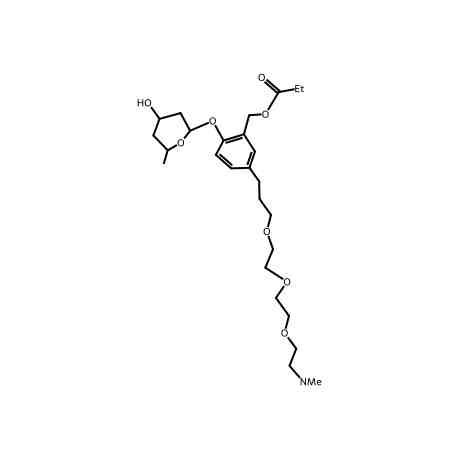 CCC(=O)OCc1cc(CCCOCCOCCOCCNC)ccc1OC1CC(O)CC(C)O1